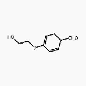 O=CC1C=CC(OCCO)=CC1